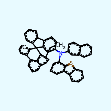 CCc1ccc2cccc3c2c1C1(c2ccccc2-c2ccc(N(c4ccc5ccccc5c4)c4cccc5c4sc4ccccc45)cc21)c1ccccc1-3